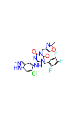 Cc1nc(Cn2c(=O)nc(NC3=CC4=CN(C)NC4C=C3Cl)n(Cc3cc(F)c(F)cc3F)c2=O)co1